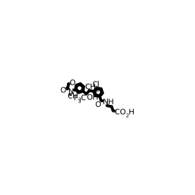 C[C@@H](c1cc(C(=O)NCCCC(=O)O)ccc1Cl)[C@](O)(c1ccc2c(c1)N(C)C(=O)CO2)C(F)(F)F